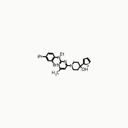 CCN(c1nc(C)cc(N2CCC(O)(c3cccs3)CC2)n1)c1ccc(C(C)C)cc1Br